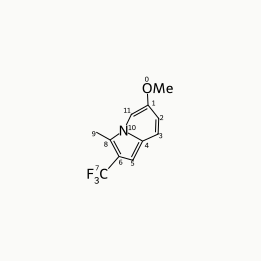 COc1ccc2cc(C(F)(F)F)c(C)n2c1